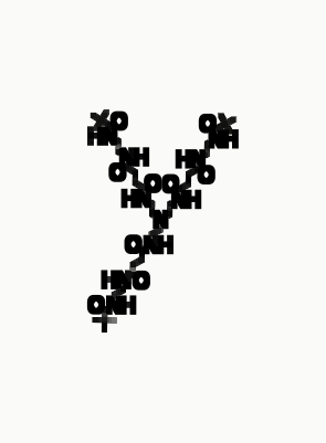 CC(C)(C)C(=O)NCCNC(=O)CCC(=O)NCCN(CCNC(=O)CCC(=O)NCCNC(=O)C(C)(C)C)CCNC(=O)CCC(=O)NCCNC(=O)C(C)(C)C